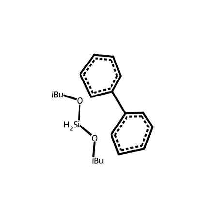 CCC(C)O[SiH2]OC(C)CC.c1ccc(-c2ccccc2)cc1